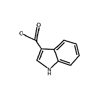 [O]C(=O)c1c[nH]c2ccccc12